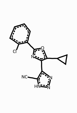 N#Cc1[nH]nnc1-c1nc(-c2ccccc2Cl)oc1C1CC1